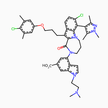 Cc1cc(OCCCc2c3n(c4c(-c5c(C)nn(C)c5C)c(Cl)ccc24)CCCN(c2cc(C(=O)O)cc4c2ccn4CCN(C)C)C3=O)cc(C)c1Cl